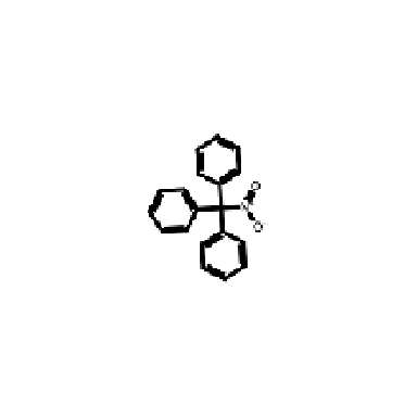 O=[N+]([O-])C(c1ccccc1)(c1ccccc1)c1ccccc1